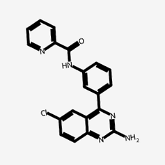 Nc1nc(-c2cccc(NC(=O)c3ccccn3)c2)c2cc(Cl)ccc2n1